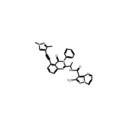 Cc1nn(C)cc1C#Cc1cccc2nc(C(C)NC(=O)c3c(N)nn4cccnc34)n(-c3ccccc3)c(=O)c12